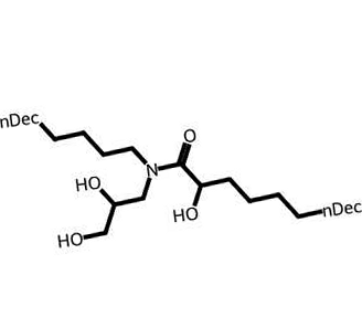 CCCCCCCCCCCCCCC(O)C(=O)N(CCCCCCCCCCCCCC)CC(O)CO